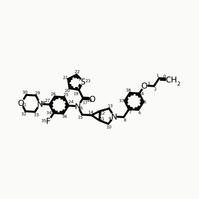 C=CCOc1ccc(CN2CC3C(C2)C3CN(C(=O)c2cccs2)c2ccc(N3CCOCC3)c(F)c2)cc1